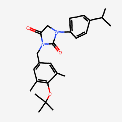 Cc1cc(CN2C(=O)CN(c3ccc(C(C)C)cc3)C2=O)cc(C)c1OC(C)(C)C